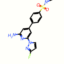 Nc1cc(-c2ccc(S(=O)(=O)N3CCC3)cc2)cc(-n2ccc(F)n2)n1